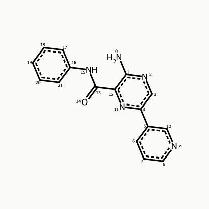 Nc1ncc(-c2cccnc2)nc1C(=O)Nc1ccccc1